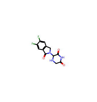 O=C1CNC(N2Cc3cc(F)c(F)cc3C2=O)C(=O)N1